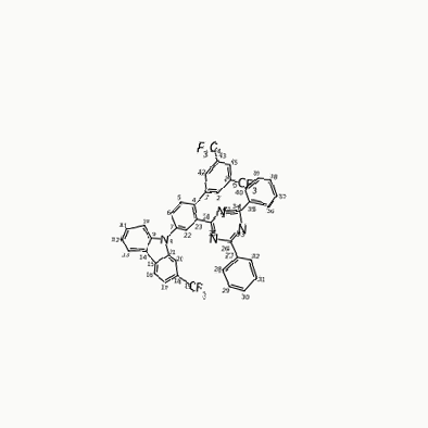 FC(F)(F)c1cc(-c2ccc(-n3c4ccccc4c4ccc(C(F)(F)F)cc43)cc2-c2nc(-c3ccccc3)nc(-c3ccccc3)n2)cc(C(F)(F)F)c1